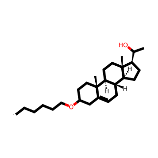 [CH2]CCCCCOC1CC[C@@]2(C)C(=CC[C@H]3[C@@H]4CC[C@H](C(C)O)[C@@]4(C)CC[C@@H]32)C1